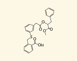 COC(=O)C(Cc1ccccc1)OC(=O)Cc1cccc(SCc2ccccc2C(=O)O)c1